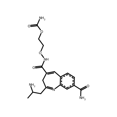 CC(N)CC1=Nc2cc(C(N)=O)ccc2C=C(C(=O)NOCCOC(N)=O)C1